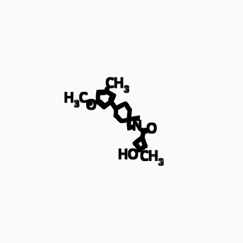 COc1cc(C)cc(C2CCC3(CC2)CN(C(=O)C2CC(C)(O)C2)C3)c1